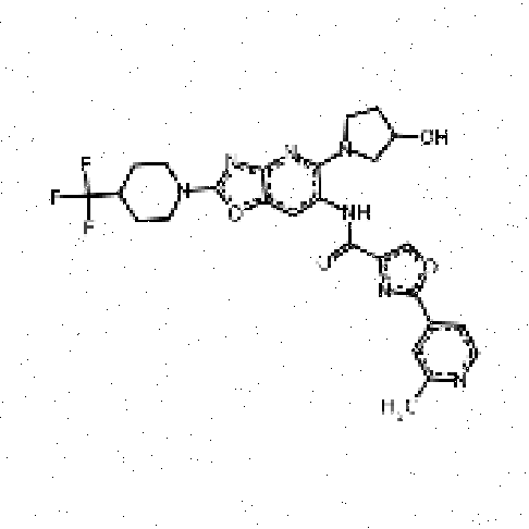 Cc1cc(-c2nc(C(=O)Nc3cc4oc(N5CCC(C(F)(F)F)CC5)nc4nc3N3CCC(O)C3)co2)ccn1